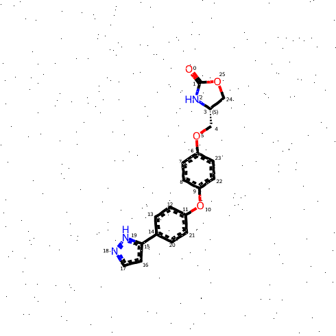 O=C1N[C@@H](COc2ccc(Oc3ccc(-c4ccn[nH]4)cc3)cc2)CO1